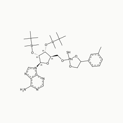 Cc1cccc(C2CO[PH](S)(OC[C@H]3O[C@@H](n4cnc5c(N)ncnc54)[C@H](O[Si](C)(C)C(C)(C)C)[C@@H]3O[Si](C)(C)C(C)(C)C)O2)c1